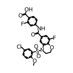 COc1ccc(Cl)cc1S(=O)(=O)N1CCOc2c(F)cc(C(=O)Nc3ccc(C(=O)O)c(F)c3)cc21